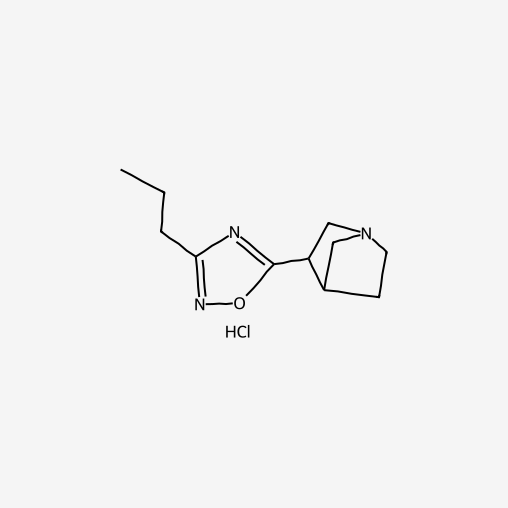 CCCc1noc(C2CN3CCC2C3)n1.Cl